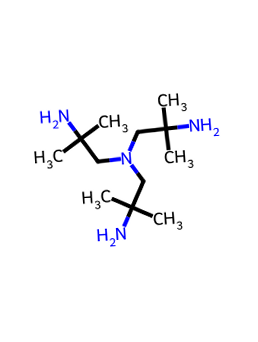 CC(C)(N)CN(CC(C)(C)N)CC(C)(C)N